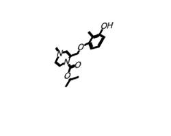 Cc1c(O)cccc1OCC1CN(C)CCN1C(=O)OC(C)C